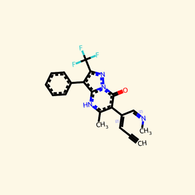 C#C/C=C(\C=N/C)c1c(C)[nH]c2c(-c3ccccc3)c(C(F)(F)F)nn2c1=O